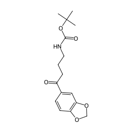 CC(C)(C)OC(=O)NCCCC(=O)c1ccc2c(c1)OCO2